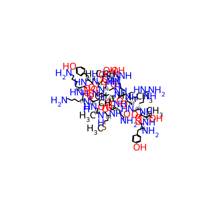 CSCC[C@H](NC(=O)[C@H](CCC(N)=O)NC(=O)[C@H](CCCCN)NC(=O)[C@H](CCCNC(=N)N)NC(=O)[C@H](CC(C)C)NC(=O)[C@H](CCCNC(=N)N)NC(=O)[C@@H](NC(=O)[C@@H](N)Cc1ccc(O)cc1)[C@@H](C)O)C(=O)N[C@@H](C)C(=O)N[C@H](C(=O)N[C@@H](CCCCN)C(=O)N[C@@H](CCCCN)C(=O)N[C@@H](Cc1ccc(O)cc1)C(=O)N[C@@H](CC(C)C)C(=O)N[C@@H](CC(N)=O)C(=O)N[C@@H](CO)C(=O)O)C(C)C